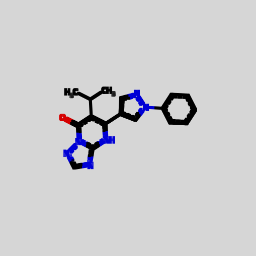 CC(C)c1c(-c2cnn(-c3ccccc3)c2)[nH]c2ncnn2c1=O